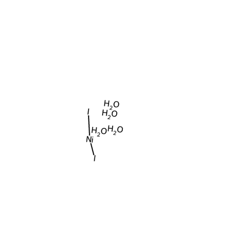 O.O.O.O.[I][Ni][I]